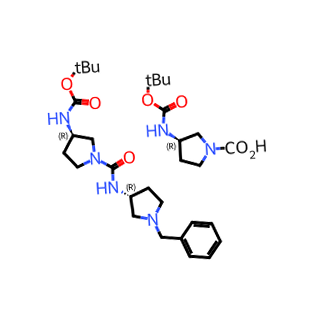 CC(C)(C)OC(=O)N[C@@H]1CCN(C(=O)N[C@@H]2CCN(Cc3ccccc3)C2)C1.CC(C)(C)OC(=O)N[C@@H]1CCN(C(=O)O)C1